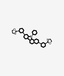 c1ccc(-n2c3cc(-c4cccc(C5=NCCO5)c4)ccc3c3ccc4cc(-c5cccc(C6=NCCO6)c5)ccc4c32)cc1